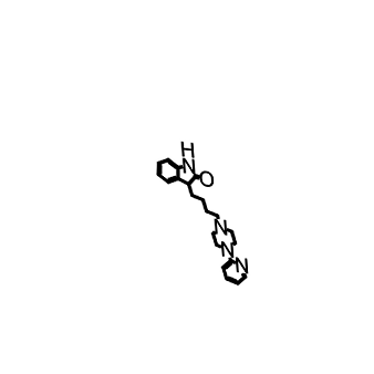 O=C1Nc2ccccc2C1CCCCN1CCN(c2ccccn2)CC1